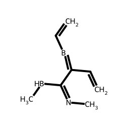 C=C/B=C(C=C)\C(BC)=N/C